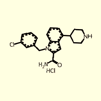 Cl.NC(=O)c1cc2c(C3CCNCC3)cccc2n1Cc1cccc(Cl)c1